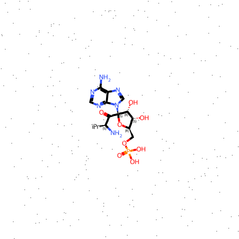 CC(C)[C@H](N)C(=O)[C@@]1(n2cnc3c(N)ncnc32)O[C@H](COP(=O)(O)O)[C@@H](O)[C@H]1O